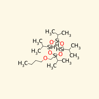 CCCCOC[Si]1(C(C)C)O[SiH](C(C)C)O[SiH](C(C)C)O[SiH](C(C)C)O1